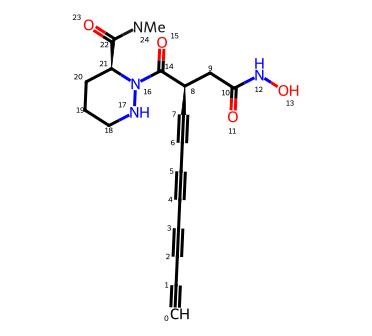 C#CC#CC#CC#C[C@H](CC(=O)NO)C(=O)N1NCCC[C@H]1C(=O)NC